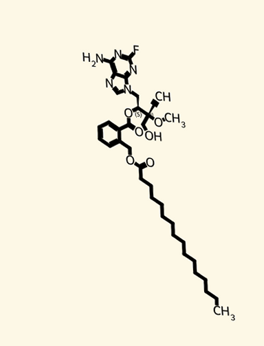 C#C[C@](CO)(OC)[C@H](Cn1cnc2c(N)nc(F)nc21)OC(=O)c1ccccc1COC(=O)CCCCCCCCCCCCCCC